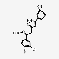 N#Cc1cccc(-c2cc(CC(OC=O)c3ccc(F)c(Cl)c3)n[nH]2)c1